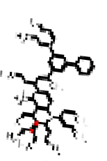 C=C\C=C/C(=C\C)C(/C=C)=C(/C=C\C(=C)C(=C/C=C)/C=C(\C)c1cc(C(/C=C\C=C)=C/C=C)cc(-c2ccccc2)c1)N(C(/C=C\C)=C/C=C)C(/C=C\C=C)=C/C=C